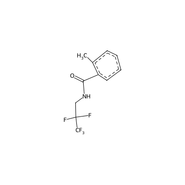 Cc1ccccc1C(=O)NCC(F)(F)C(F)(F)F